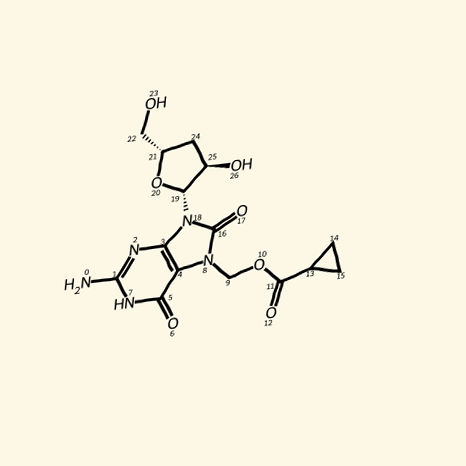 Nc1nc2c(c(=O)[nH]1)n(COC(=O)C1CC1)c(=O)n2[C@@H]1O[C@H](CO)C[C@H]1O